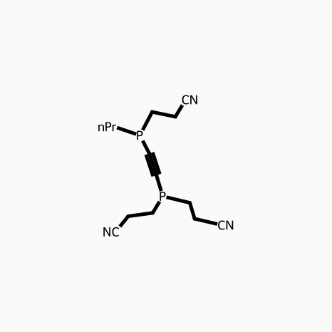 CCCP(C#CP(CCC#N)CCC#N)CCC#N